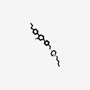 CCCCC[Si@H]1CC[C@H](CCc2ccc(-c3ccc(-c4ccc(CCC)cc4)c(F)c3)cc2)CC1